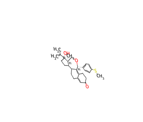 C=C(C)[C@]1(O)CCC2C3CCC4=CC(=O)CCC4=C3[C@@H](c3ccc(SC)cc3)OC[C@@]21C